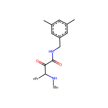 CCCC(NC(C)(C)C)C(=O)C(=O)NCc1cc(C)cc(C)c1